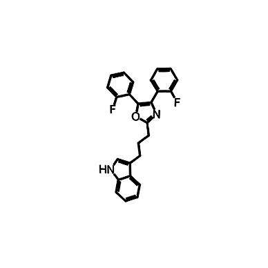 Fc1ccccc1-c1nc(CCCc2c[nH]c3ccccc23)oc1-c1ccccc1F